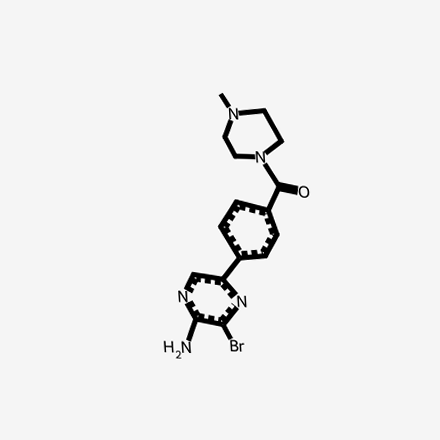 CN1CCN(C(=O)c2ccc(-c3cnc(N)c(Br)n3)cc2)CC1